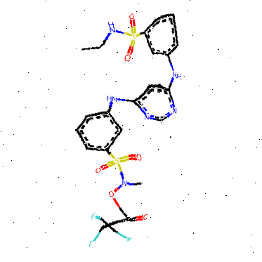 CCNS(=O)(=O)c1cccc(Nc2cc(Nc3cccc(S(=O)(=O)N(C)OC(=O)C(F)(F)F)c3)ncn2)c1